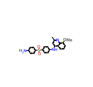 COc1cccc2c(Nc3ccc(S(=O)(=O)c4ccc(N)cc4)cc3)cc(C)nc12